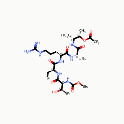 CC[C@H](C)[C@H](NC(=O)[C@@H](CCCNC(=N)N)NC(=O)[C@H](CC(C)C)NC(=O)[C@@H](NC(=O)OC(C)(C)C)[C@H](O)C(C)C)C(=O)N[C@H](C(=O)O)[C@H](C)OC(=O)C(F)(F)F